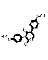 COc1ccc(C(CCl)C(=O)C(CCl)c2ccc(OC)cc2)cc1